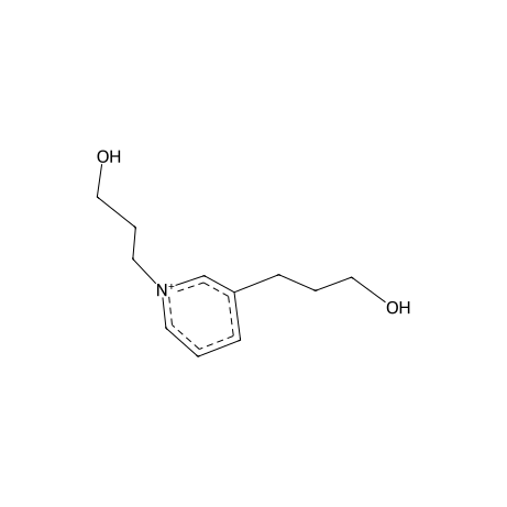 OCCCc1ccc[n+](CCCO)c1